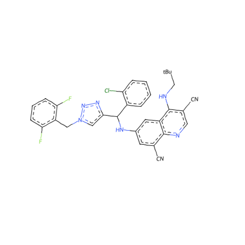 CC(C)(C)CNc1c(C#N)cnc2c(C#N)cc(NC(c3cn(Cc4c(F)cccc4F)nn3)c3ccccc3Cl)cc12